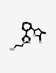 C=C1CC(c2ccccc2-c2cnn(CCO)c2)OC1=O